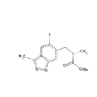 COC(=O)[C@@H](C)Cc1cc2nnc(C)n2cc1F